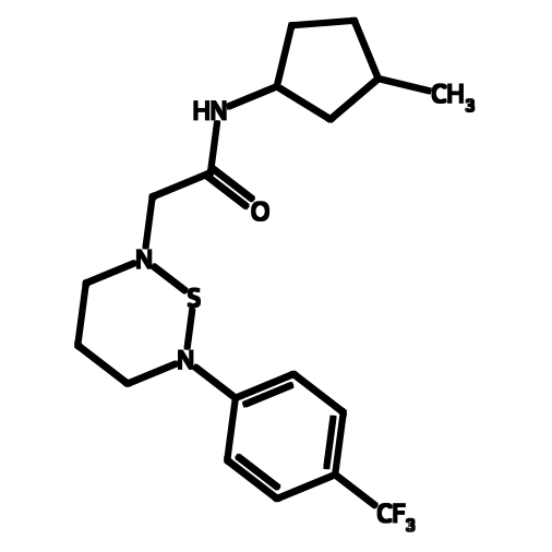 CC1CCC(NC(=O)CN2CCCN(c3ccc(C(F)(F)F)cc3)S2)C1